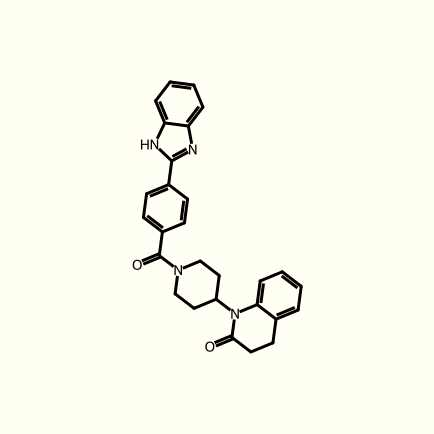 O=C(c1ccc(-c2nc3ccccc3[nH]2)cc1)N1CCC(N2C(=O)CCc3ccccc32)CC1